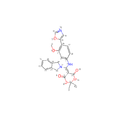 COc1cc(NC(=C2C(=O)OC(C)(C)OC2=O)N2Cc3ccccc3C2)ccc1-c1cnco1